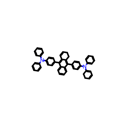 C1=CCCC(N(c2ccccc2)c2ccc(-c3c4c(c(-c5ccc(N(c6ccccc6)c6ccccc6)cc5)c5ccccc35)C=CCC4)cc2)=C1